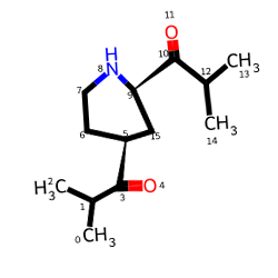 CC(C)C(=O)[C@H]1CCN[C@@H](C(=O)C(C)C)C1